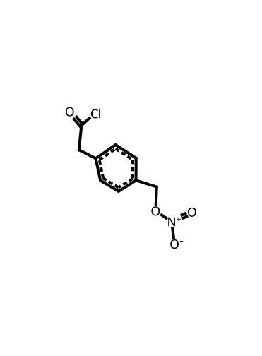 O=C(Cl)Cc1ccc(CO[N+](=O)[O-])cc1